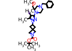 COC[C@]1(C)CN(Cc2ccccc2)CCN1c1nn(C2CC3(C2)CN(C(=O)OC(C)(C)C)C3)c(C)c1I